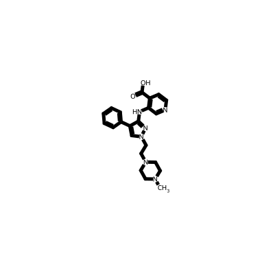 CN1CCN(CCn2cc(-c3ccccc3)c(Nc3cnccc3C(=O)O)n2)CC1